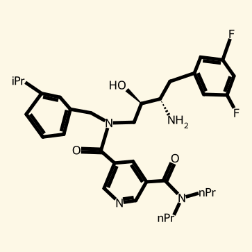 CCCN(CCC)C(=O)c1cncc(C(=O)N(Cc2cccc(C(C)C)c2)C[C@@H](O)[C@@H](N)Cc2cc(F)cc(F)c2)c1